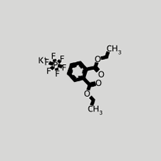 CCOC(=O)c1ccccc1C(=O)OCC.F[P-](F)(F)(F)(F)F.[K+]